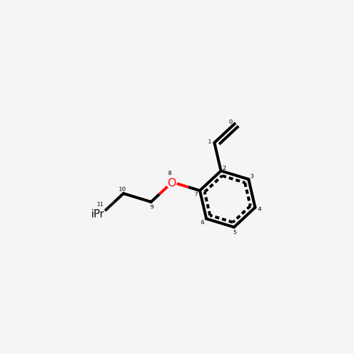 C=Cc1ccccc1OCCC(C)C